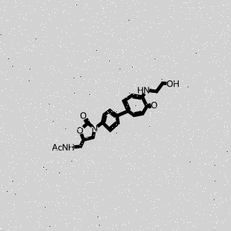 CC(=O)NCC1CN(c2ccc(-c3ccc(NCCO)c(=O)cc3)cc2)C(=O)O1